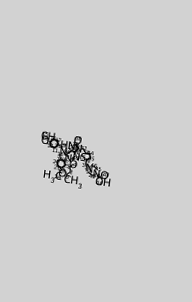 CCCCOc1nc(N(Cc2ccc(OC)cc2)Cc2ccc(OC)cc2)c2[nH]c(=O)n(Cc3ccc(CN4CCN(C(=O)O)CC4)s3)c2n1